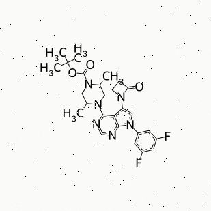 CC1CN(c2ncnc3c2c(N2CCC2=O)cn3-c2cc(F)cc(F)c2)C(C)CN1C(=O)OC(C)(C)C